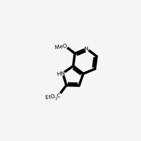 CCOC(=O)c1cc2ccnc(OC)c2[nH]1